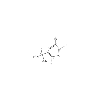 CC(N)(C#N)c1cc(Br)c(F)cc1F